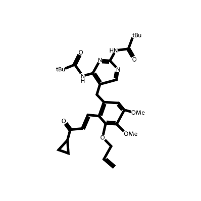 C=CCOc1c(/C=C/C(=O)C2CC2)c(Cc2cnc(NC(=O)C(C)(C)C)nc2NC(=O)C(C)(C)C)cc(OC)c1OC